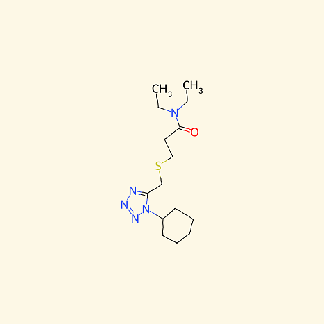 CCN(CC)C(=O)CCSCc1nnnn1C1CCCCC1